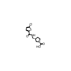 O=C(NC[C@H]1CCN(C(=O)O)C1)c1ccc(Cl)s1